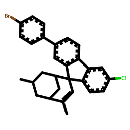 CC1=CC2(c3ccc(Cl)cc3-c3ccc(-c4ccc(Br)cc4)cc32)C2CC(C)CC1C2